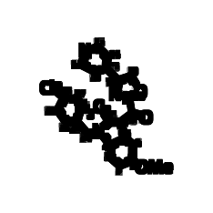 COc1ccc2c(c1)c(C(=O)c1nc(-c3ccncc3)co1)c(C)n2Cc1ccc(Cl)cc1